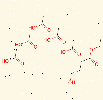 CC(=O)O.CC(=O)O.CC(=O)O.CC(=O)O.CC(=O)O.CCOC(=O)CCCO